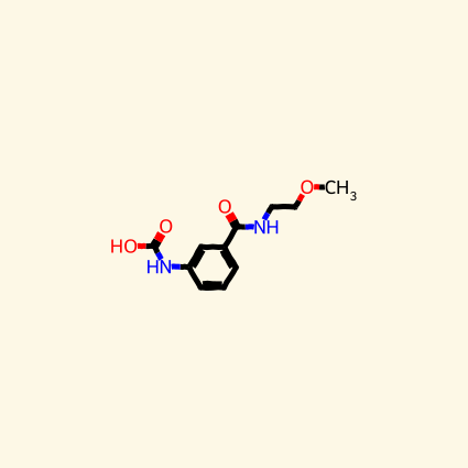 COCCNC(=O)c1cccc(NC(=O)O)c1